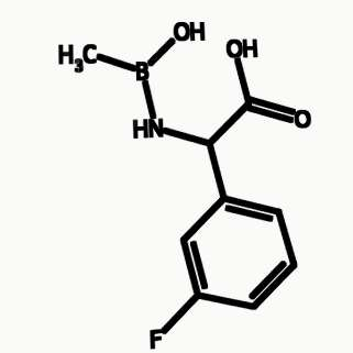 CB(O)NC(C(=O)O)c1cccc(F)c1